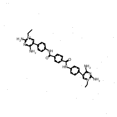 CC[n+]1cc(-c2ccc(NC(=O)c3ccc(C(=O)Nc4ccc(-c5c[n+](CC)c(N)nc5N)cc4)cc3)cc2)c(N)nc1N